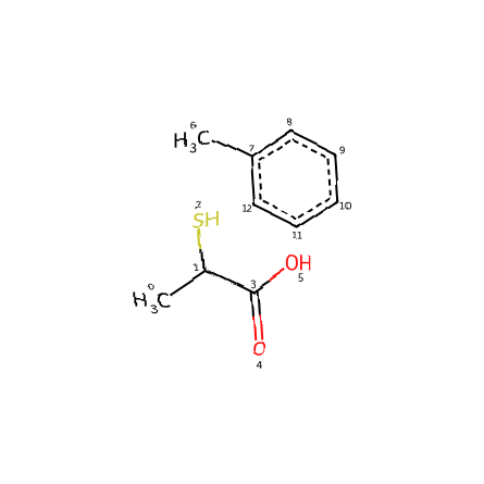 CC(S)C(=O)O.Cc1ccccc1